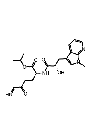 CC(C)OC(=O)[C@H](CCC(=O)C=N)NC(=O)[C@@H](O)Cc1cn(C)c2ncccc12